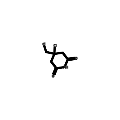 O=C1CC(Cl)(CCl)CC(=O)N1